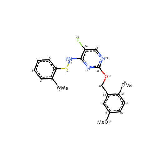 CNc1ccccc1SNc1nc(OCc2cc(OC)ccc2OC)ncc1F